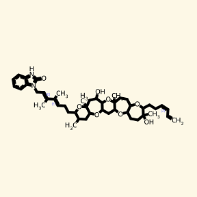 C=C/C=C\CCC1OC2CCC3(C)OC4C(O)CC5(C)OC(CC/C=C(C)/C(C)=C/Cn6c(=O)[nH]c7ccccc76)C(C)CC5OC4CC3OC2CCC1(C)O